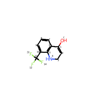 OC1=CCNc2c1cccc2C(F)(F)F